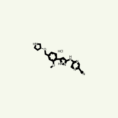 COc1cc(CO[C@@H]2CCNC2)ccc1-c1cc(Nc2cnc(C#N)cn2)n[nH]1.Cl